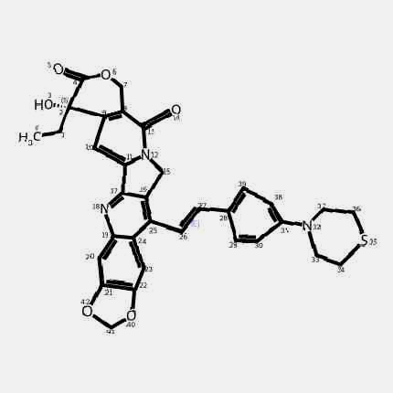 CC[C@@]1(O)C(=O)OCc2c1cc1n(c2=O)Cc2c-1nc1cc3c(cc1c2/C=C/c1ccc(N2CCSCC2)cc1)OCO3